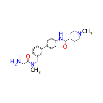 CN1CCC(C(=O)Nc2ccc(-c3cccc(CN(C)C(=O)CN)c3)cc2)CC1